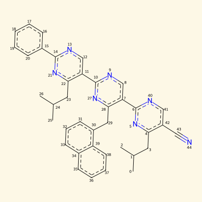 CC(C)Cc1nc(-c2cnc(-c3cnc(-c4ccccc4)nc3CC(C)C)nc2Cc2cccc3ccccc23)ncc1C#N